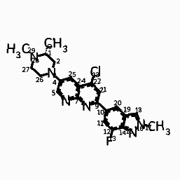 C[C@@H]1CN(c2cnc3nc(-c4cc(F)c5nn(C)cc5c4)cc(Cl)c3c2)CCN1C